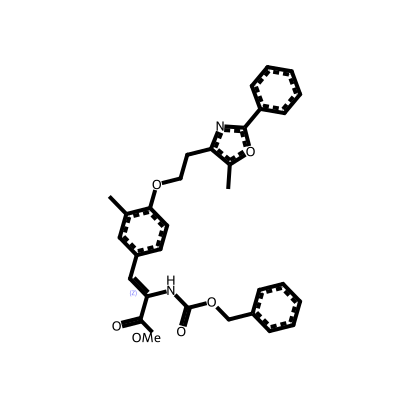 COC(=O)/C(=C/c1ccc(OCCc2nc(-c3ccccc3)oc2C)c(C)c1)NC(=O)OCc1ccccc1